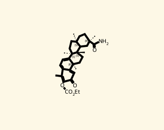 CCOC(=O)OC1=C(C)C2=CC=C3[C@@](C)(CC[C@@]4(C)C5C[C@](C)(C(N)=O)CC[C@]5(C)CC[C@]34C)C2=CC1=O